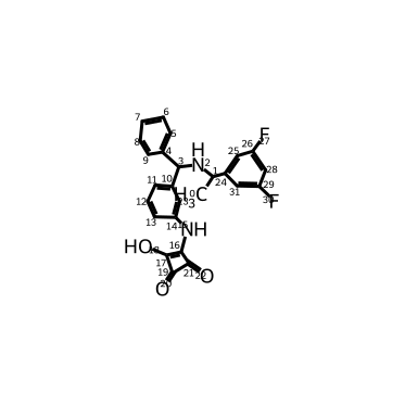 CC(NC(c1ccccc1)c1cccc(Nc2c(O)c(=O)c2=O)c1)c1cc(F)cc(F)c1